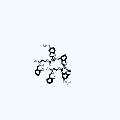 COc1ccc2nc(NC(=O)OCCN(NCc3ccccc3Cl)C(C)=O)sc2c1.COc1cccc2sc(NC(=O)OCCN(NCc3ccccc3Cl)C(C)=O)nc12.O=C(O)c1ccc2ncsc2c1